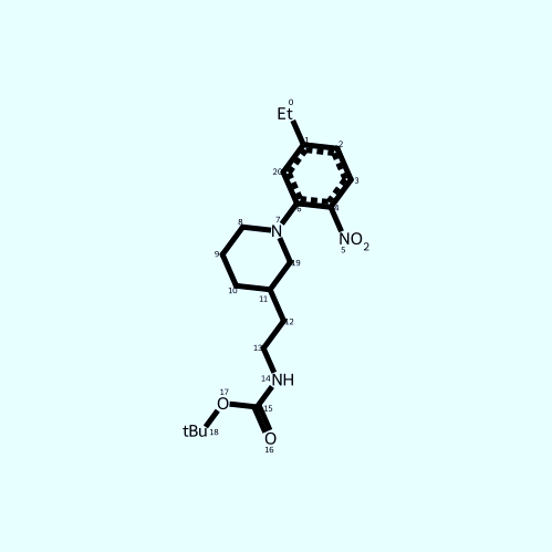 CCc1ccc([N+](=O)[O-])c(N2CCCC(CCNC(=O)OC(C)(C)C)C2)c1